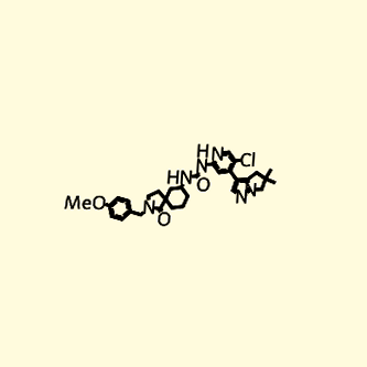 COc1ccc(CN2CCC3(CCCC(NC(=O)Nc4cc(-c5cnn6c5CC(C)(C)C6)c(Cl)cn4)C3)C2=O)cc1